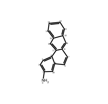 Nc1ccc2c(ccc3cc4ccccc4cc32)c1